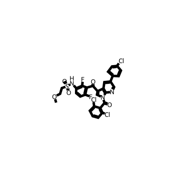 COCCS(=O)(=O)Nc1ccc(F)c(C(=O)c2cn(C(=O)c3c(Cl)cccc3Cl)c3ncc(-c4ccc(Cl)cc4)cc23)c1F